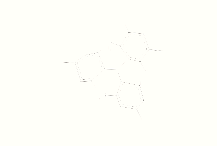 Cc1cc(C)c(P(c2c(C)cc(C)cc2C)c2c(F)c(F)cc(F)c2F)c(C)c1